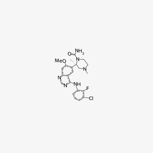 COc1cc2ncnc(Nc3cccc(Cl)c3F)c2cc1[C@]1(C)CN(C)CCN1C(N)=O